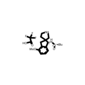 COc1cccc2c1CC1(CCNCC1)[C@@H]2N[S@+]([O-])C(C)(C)C.O=C(O)C(F)(F)F